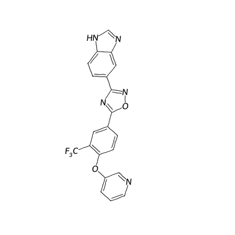 FC(F)(F)c1cc(-c2nc(-c3ccc4[nH]cnc4c3)no2)ccc1Oc1cccnc1